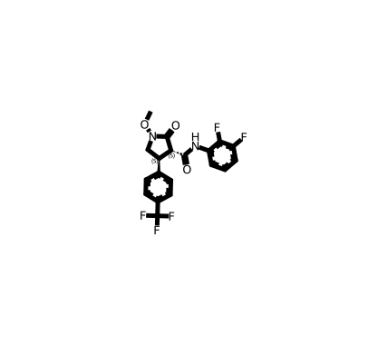 CON1C[C@H](c2ccc(C(F)(F)F)cc2)[C@@H](C(=O)Nc2cccc(F)c2F)C1=O